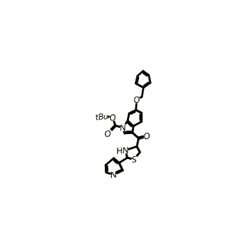 CC(C)(C)OC(=O)n1cc(C(=O)C2CSC(c3cccnc3)N2)c2ccc(OCc3ccccc3)cc21